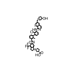 Cc1c(-c2nc3cc4c(c(C(F)(F)F)c3o2)CC[C@H]4N2CC[C@@H](C(=O)O)C2)cccc1-c1cccc(Nc2nccc3cc(CN4CC[C@@H](O)C4)cnc23)c1Cl